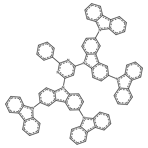 c1ccc(-c2nc(-n3c4ccc(-n5c6ccccc6c6ccccc65)cc4c4cc(-n5c6ccccc6c6ccccc65)ccc43)cc(-n3c4ccc(-n5c6ccccc6c6ccccc65)cc4c4cc(-n5c6ccccc6c6ccccc65)ccc43)n2)cc1